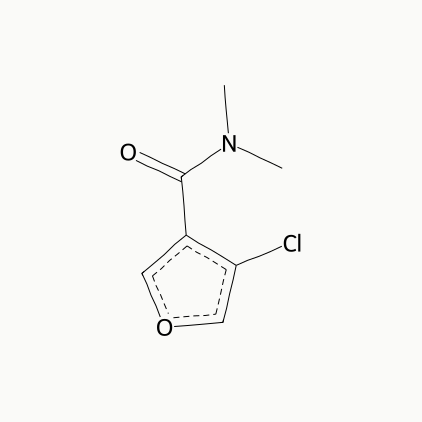 CN(C)C(=O)c1cocc1Cl